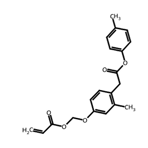 C=CC(=O)OCOc1ccc(CC(=O)Oc2ccc(C)cc2)c(C)c1